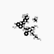 CC[C@@]1(O)C(=O)OCc2c1cc1n(c2=O)Cc2c-1nc1cc(F)c(C)c3c1c2[C@@H](NC(=O)C(C)(C)CCN(CC(N)=O)C(=O)[C@H](Cc1ccccc1)NC(=O)CNC(=O)CN)CC3.O=C(O)C(F)(F)F